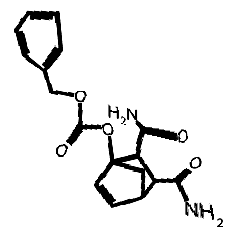 NC(=O)C1C2C=CC(OC(=O)OCc3ccccc3)(C2)C1C(N)=O